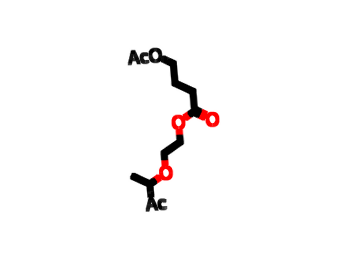 CC(=O)OCCCC(=O)OCCOC(C)C(C)=O